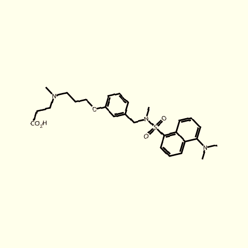 CN(CCCOc1cccc(CN(C)S(=O)(=O)c2cccc3c(N(C)C)cccc23)c1)CCC(=O)O